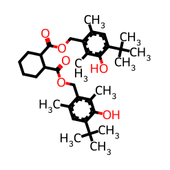 Cc1cc(C(C)(C)C)c(O)c(C)c1COC(=O)C1CCCCC1C(=O)OCc1c(C)cc(C(C)(C)C)c(O)c1C